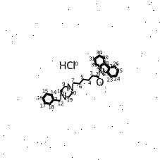 Cl.O=C(CCCCCN1CCN(Cc2ccccc2)CC1)n1c2ccccc2c2ccccc21